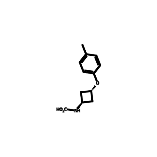 Cc1ccc(O[C@H]2C[C@H](NC(=O)O)C2)cc1